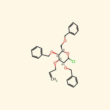 C=CCO[C@H]1[C@@H](OCc2ccccc2)[C@@H](COCc2ccccc2)OC(Cl)[C@@H]1OCc1ccccc1